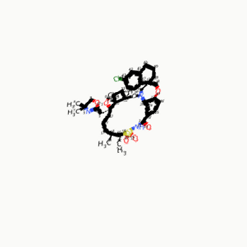 CO[C@]1(CC2=NC(C)(C)CO2)/C=C/C[C@H](C)[C@@H](C)S(=O)(=O)NC(=O)c2ccc3c(c2)N(C[C@@H]2CC[C@H]21)C[C@@]1(CCCc2cc(Cl)ccc21)CO3